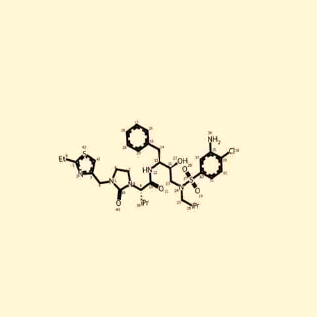 CCc1nc(CN2CCN([C@H](C(=O)N[C@@H](Cc3ccccc3)[C@@H](O)CN(CC(C)C)S(=O)(=O)c3ccc(Cl)c(N)c3)C(C)C)C2=O)cs1